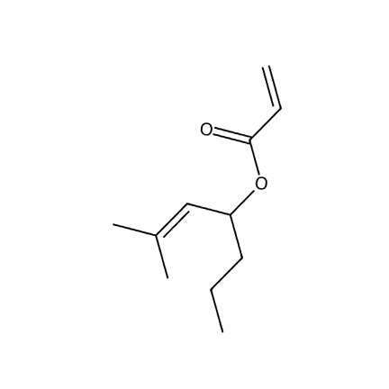 C=CC(=O)OC(C=C(C)C)CCC